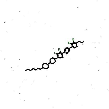 CCCCCCCC1CCC(C2CCC(c3ccc(-c4ccc(-c5ccc(CCC)c(F)c5F)cc4)c(F)c3F)CC2)CC1